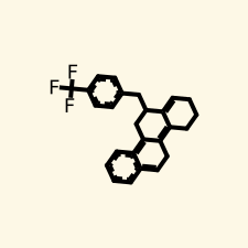 FC(F)(F)c1ccc(CC2CC3=c4ccccc4=CCC3=C3CCCC=C32)cc1